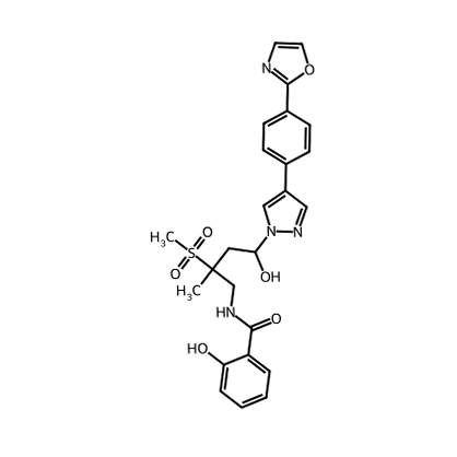 CC(CNC(=O)c1ccccc1O)(CC(O)n1cc(-c2ccc(-c3ncco3)cc2)cn1)S(C)(=O)=O